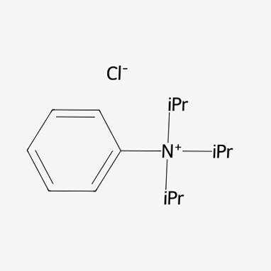 CC(C)[N+](c1ccccc1)(C(C)C)C(C)C.[Cl-]